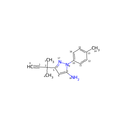 C#CC(C)(C)c1cc(N)n(-c2ccc(C)cc2)n1